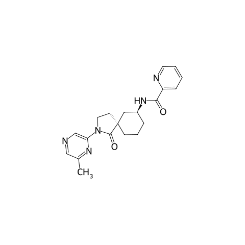 Cc1cncc(N2CC[C@]3(CCC[C@H](NC(=O)c4ccccn4)C3)C2=O)n1